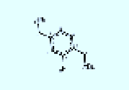 CC(C)(C)Cc1ccc(CC(C)(C)C)c(F)c1